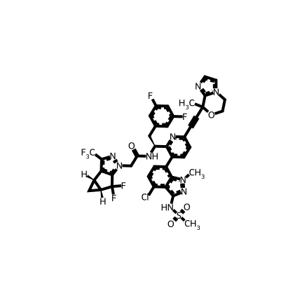 Cn1nc(NS(C)(=O)=O)c2c(Cl)ccc(-c3ccc(C#CC4(C)OCCn5ccnc54)nc3[C@H](Cc3cc(F)cc(F)c3)NC(=O)Cn3nc(C(F)(F)F)c4c3C(F)(F)[C@@H]3C[C@H]43)c21